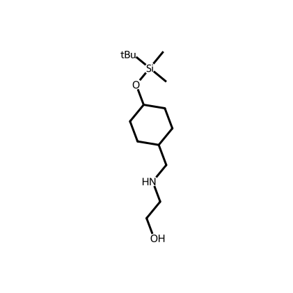 CC(C)(C)[Si](C)(C)OC1CCC(CNCCO)CC1